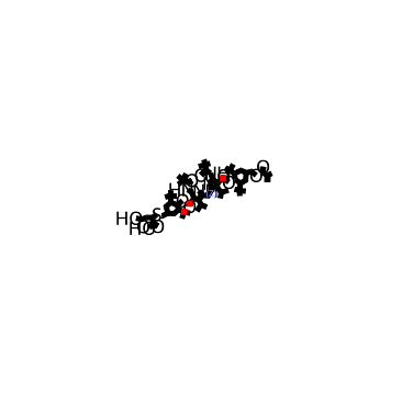 C=C(C)C(=O)OCC1CC(C(C)(C)C)C(OC(=O)C2=C(C(C)C)/C(=C/C3=C(C(C)C)C(C(=O)OC4C(C(C)(C)C)CC(CSC(CC(=O)O)C(=O)O)CC4C(C)(C)C)C(NC(=O)C(C)(C)C)N3)N=C2NC(=O)C(C)(C)C)C(C(C)(C)C)C1